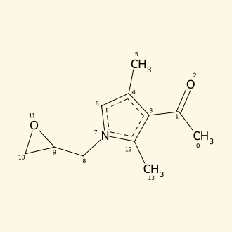 CC(=O)c1c(C)cn(CC2CO2)c1C